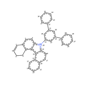 C1=Cc2ccc3c(c2CC1)c1c2ccccc2ccc1n3-c1cc(-c2ccccc2)cc(-c2ccccc2)c1